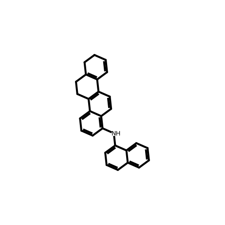 C1=CC2=C(CC1)CCc1c2ccc2c(Nc3cccc4ccccc34)cccc12